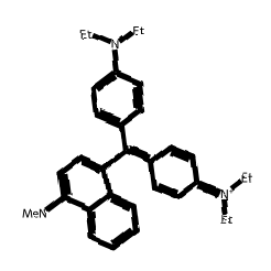 CCN(CC)c1ccc(C(=C2C=CC(=[N+](CC)CC)C=C2)c2ccc(NC)c3ccccc23)cc1